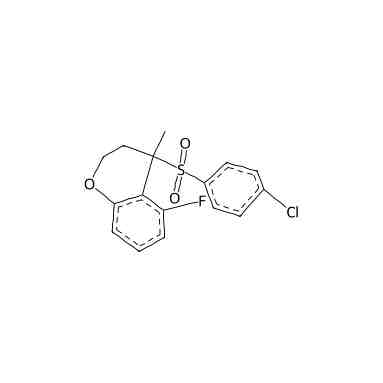 CC1(S(=O)(=O)c2ccc(Cl)cc2)CCOc2cccc(F)c21